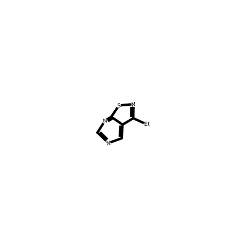 CCc1nsc2ncncc12